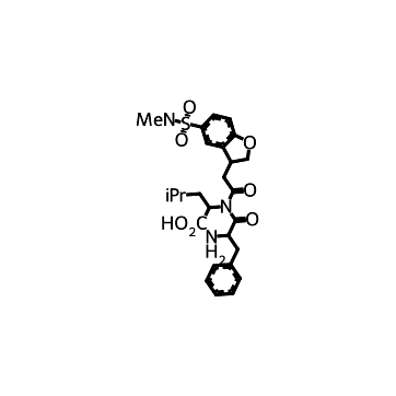 CNS(=O)(=O)c1ccc2c(c1)C(CC(=O)N(C(=O)C(N)Cc1ccccc1)C(CC(C)C)C(=O)O)CO2